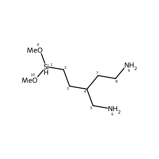 CO[SiH](CCC(CN)CCN)OC